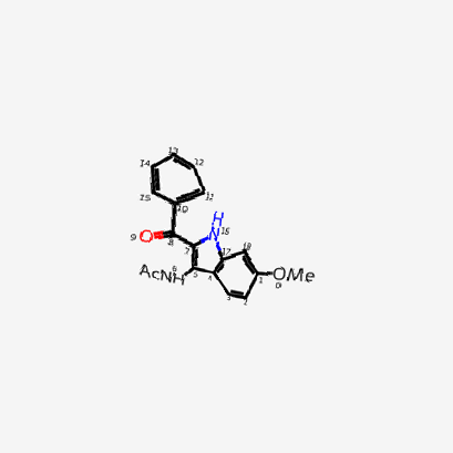 COc1ccc2c(NC(C)=O)c(C(=O)c3ccccc3)[nH]c2c1